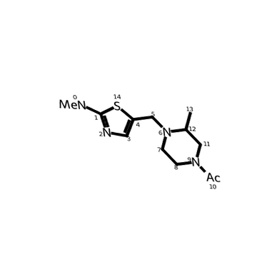 CNc1ncc(CN2CCN(C(C)=O)CC2C)s1